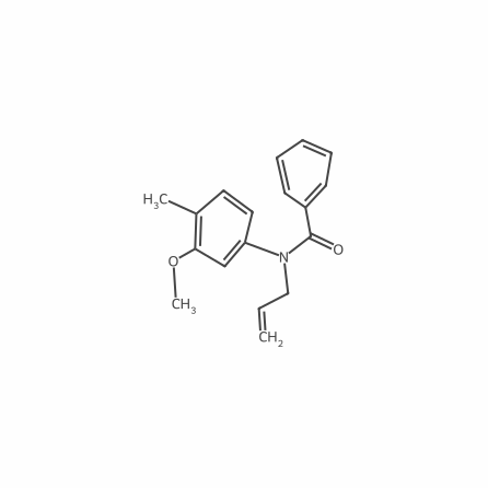 C=CCN(C(=O)c1ccccc1)c1ccc(C)c(OC)c1